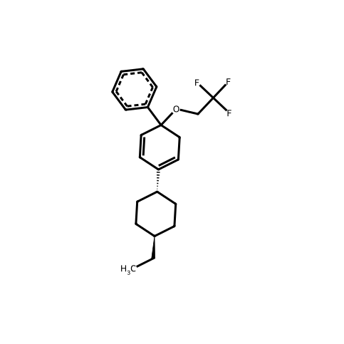 CC[C@H]1CC[C@H](C2=CCC(OCC(F)(F)F)(c3ccccc3)C=C2)CC1